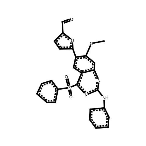 COc1cc2nc(Nc3ccccc3)nc(S(=O)(=O)c3ccccc3)c2cc1-c1ccc(C=O)o1